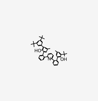 Cc1cc(-c2cc(C(C)(C)C)cc(C(C)(C)C)c2)c(O)c(-c2ccccc2-c2cccc(-c3ccccc3-c3cc(C)cc(C(C)(C)C)c3O)n2)c1